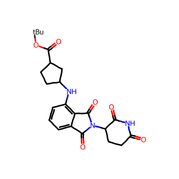 CC(C)(C)OC(=O)C1CCC(Nc2cccc3c2C(=O)N(C2CCC(=O)NC2=O)C3=O)C1